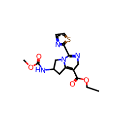 CCOC(=O)C1=C2CC(NC(=O)OC)CN2C(c2nccs2)=NC1